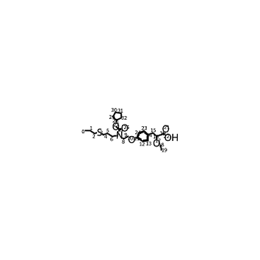 CCCSCCCN(CCOc1ccc(CC(OCC)C(=O)O)cc1)C(=O)OC1CCCC1